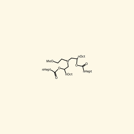 CCCCCCCCC(CN(CCOC)CC(CCCCCCCC)OC(=O)CCCCCCC)OC(=O)CCCCCCC